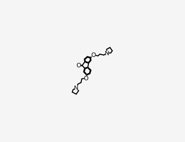 O=C1c2cc(OCCCN3CCCC3)ccc2-c2cc(OCCCN3CCCC3)ccc21